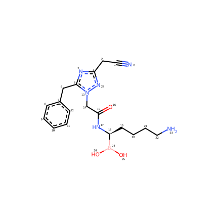 N#CCc1nc(Cc2ccccc2)n(CC(=O)N[C@@H](CCCCN)B(O)O)n1